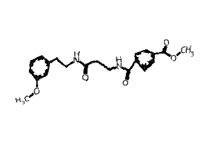 COC(=O)c1ccc(C(=O)NCCC(=O)NCCc2cccc(OC)c2)cc1